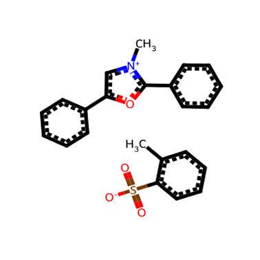 C[n+]1cc(-c2ccccc2)oc1-c1ccccc1.Cc1ccccc1S(=O)(=O)[O-]